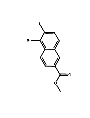 COC(=O)c1ccc2c(Br)c(I)ccc2c1